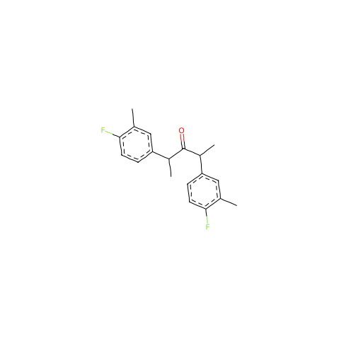 Cc1cc(C(C)C(=O)C(C)c2ccc(F)c(C)c2)ccc1F